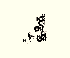 N[C@@H]1CO[C@H]1COc1ccc2ncc(F)c(CCN(Cc3ccc4c(n3)OC(=O)CN4)C34CCC(CC3)OC4)c2n1